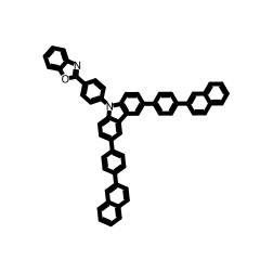 c1ccc2cc(-c3ccc(-c4ccc5c(c4)c4cc(-c6ccc(-c7ccc8ccccc8c7)cc6)ccc4n5-c4ccc(-c5nc6ccccc6o5)cc4)cc3)ccc2c1